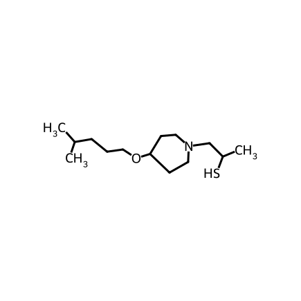 CC(C)CCCOC1CCN(CC(C)S)CC1